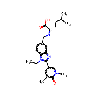 CCn1c(-c2cc(C)c(=O)n(C)c2)nc2cc(CN[C@@H](CCC(C)C)C(=O)O)ccc21